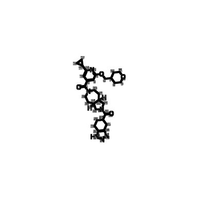 O=C(c1cc(OCC2CCOCC2)nc(C2CC2)c1)N1CC[C@@H]2CN(C(=O)C3CCc4[nH]nnc4C3)C[C@@H]2CC1